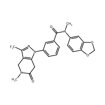 CN1Cc2c(C(F)(F)F)nn(-c3cccc(C(=O)N(C)c4ccc5c(c4)OCO5)c3)c2CC1=O